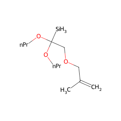 C=C(C)COCC([SiH3])(OCCC)OCCC